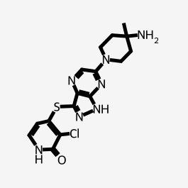 CC1(N)CCN(c2cnc3c(Sc4cc[nH]c(=O)c4Cl)n[nH]c3n2)CC1